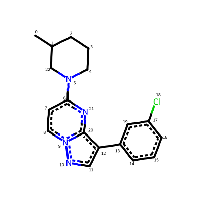 CC1CCCN(c2ccn3ncc(-c4cccc(Cl)c4)c3n2)C1